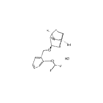 Cl.FC(F)Oc1ccccc1CO[C@H]1C[C@H]2CC[C@@H](C1)N2